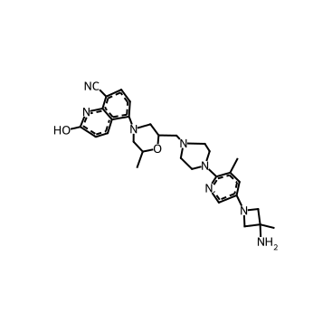 Cc1cc(N2CC(C)(N)C2)cnc1N1CCN(CC2CN(c3ccc(C#N)c4nc(O)ccc34)CC(C)O2)CC1